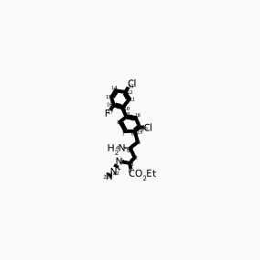 CCOC(=O)C(C[C@H](N)Cc1ccc(-c2cc(Cl)ccc2F)cc1Cl)N=[N+]=[N-]